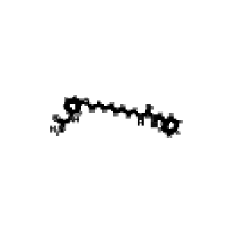 NC(=S)Nc1cccc(OCCCCCCCCNC(=S)NCc2ccccc2)c1